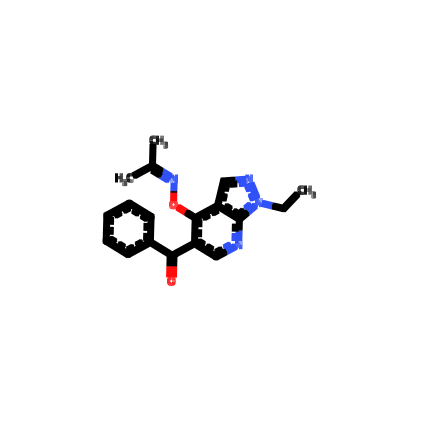 CCn1ncc2c(ON=C(C)C)c(C(=O)c3ccccc3)cnc21